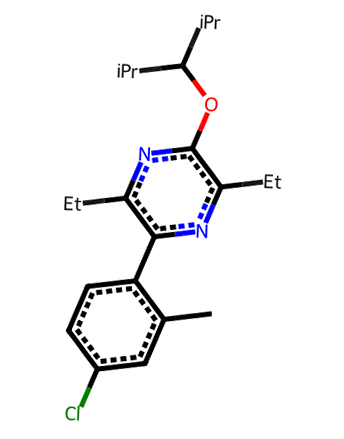 CCc1nc(-c2ccc(Cl)cc2C)c(CC)nc1OC(C(C)C)C(C)C